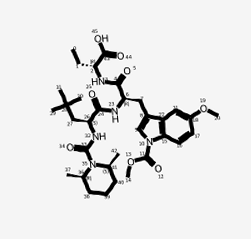 CC[C@@H](NC(=O)[C@@H](Cc1cn(C(=O)OC)c2ccc(OC)cc12)NC(=O)[C@H](CC(C)(C)C)NC(=O)N1[C@H](C)CCC[C@@H]1C)C(=O)O